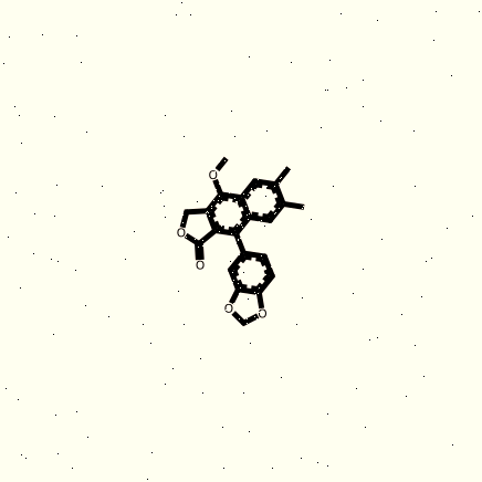 COc1c2c(c(-c3ccc4c(c3)OCO4)c3cc(C)c(C)cc13)C(=O)OC2